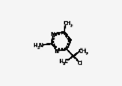 Cc1cc(C(C)(C)Cl)nc(N)n1